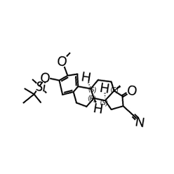 COc1cc2c(cc1O[Si](C)(C)C(C)(C)C)CC[C@@H]1[C@@H]2CC[C@]2(C)C(=O)C(C#N)C[C@@H]12